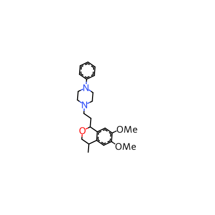 COc1cc2c(cc1OC)C(CCN1CCN(c3ccccc3)CC1)OCC2C